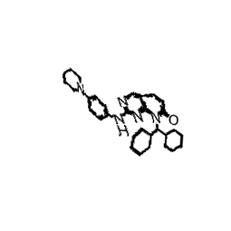 O=c1ccc2cnc(Nc3ccc(N4CCCCC4)cc3)nc2n1C(C1CCCCC1)C1CCCCC1